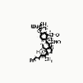 CC(C)CCC[C@@H](C)[C@H]1CC[C@H]2[C@H](C=O)[C@@H]([C@@]3(C)CC[C@H](O[Si](C)(C)C(C)(C)C)C[C@@H]3C=O)CC[C@]12C